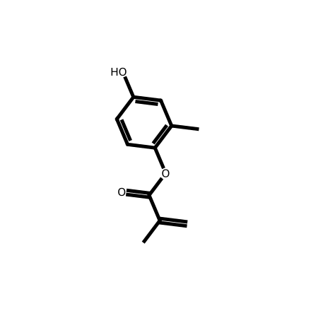 C=C(C)C(=O)Oc1ccc(O)cc1C